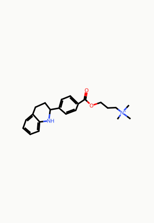 C[N+](C)(C)CCCOC(=O)c1ccc(C2CCc3ccccc3N2)cc1